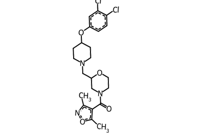 Cc1noc(C)c1C(=O)N1CCOC(CN2CCC(Oc3ccc(Cl)c(Cl)c3)CC2)C1